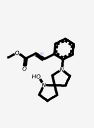 COC(=O)/C=C/c1ccccc1N1CCC2(CCCN2O)C1